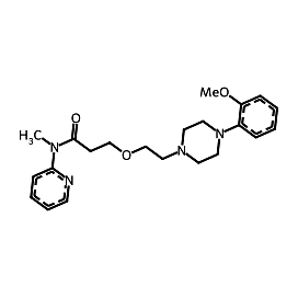 COc1ccccc1N1CCN(CCOCCC(=O)N(C)c2ccccn2)CC1